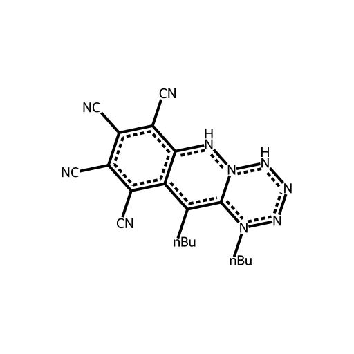 CCCCc1c2n(CCCC)nn[nH]n-2[nH]c2c(C#N)c(C#N)c(C#N)c(C#N)c12